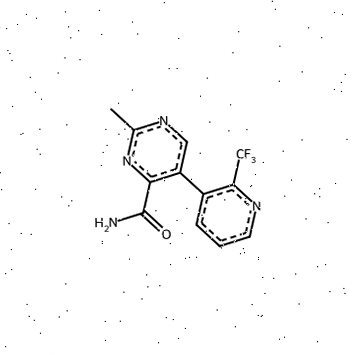 Cc1ncc(-c2cccnc2C(F)(F)F)c(C(N)=O)n1